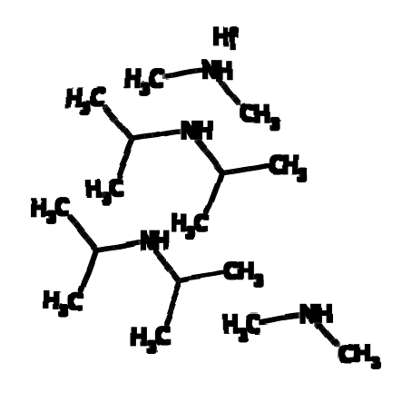 CC(C)NC(C)C.CC(C)NC(C)C.CNC.CNC.[Hf]